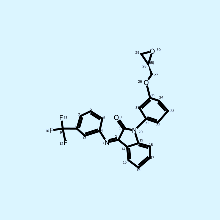 O=C1C(=Nc2cccc(C(F)(F)F)c2)c2ccccc2N1c1cccc(OC[C@H]2CO2)c1